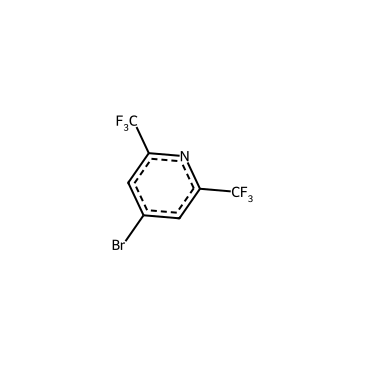 FC(F)(F)c1cc(Br)cc(C(F)(F)F)n1